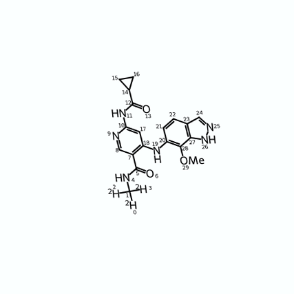 [2H]C([2H])([2H])NC(=O)c1cnc(NC(=O)C2CC2)cc1Nc1ccc2cn[nH]c2c1OC